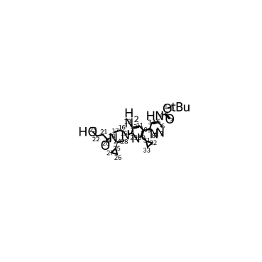 CC(C)(C)OC(=O)Nc1cnnc(-c2cc(N)c(N3CCN(C(=O)CCO)[C@H](C4CC4)C3)nc2C2CC2)c1